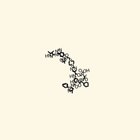 Cc1cc(NC(=O)[C@@H]2C[C@H](NC(=O)c3cnc(N4CCN(CCOc5cc6ncnc(Nc7n[nH]c(C)c7C)c6cc5S(=O)(=O)C(C)(C)C)CC4)nc3)CN2C(=O)[C@@H](NC(=O)[C@H](C)N(C)C(=O)O)C2CCCCC2)n(-c2ccccc2)n1